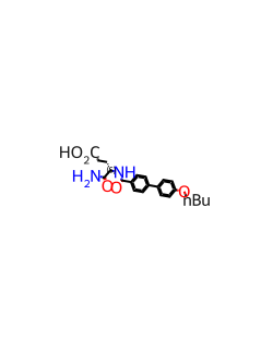 CCCCOc1ccc(-c2ccc(C(=O)N[C@@H](CCC(=O)O)C(N)=O)cc2)cc1